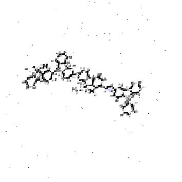 CC1(C)c2cc(/C=C/c3ccc4c(c3)c3ccccc3n4-c3ccccc3)ccc2-c2ccc(-c3ccc4c(c3)c3ccccc3n4-c3ccc4c(c3)C(C)(C)c3ccccc3-4)cc21